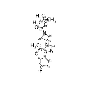 CC(=O)c1c(-c2ccc(F)cc2)ncn1C1CN(C(=O)OC(C)(C)C)C1